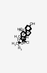 CC1(C)O[C@@H]2C[C@H]3[C@@H]4CCC5=CC(O)C=C[C@]5(C)[C@@]4(F)[C@@H](O)C[C@]3(C)[C@]2(C(=O)CCl)O1